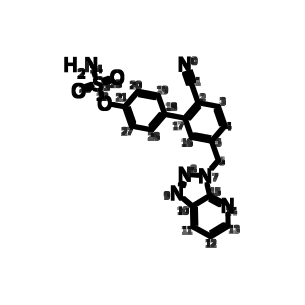 N#Cc1ccc(Cn2nnc3cccnc32)cc1-c1ccc(OS(N)(=O)=O)cc1